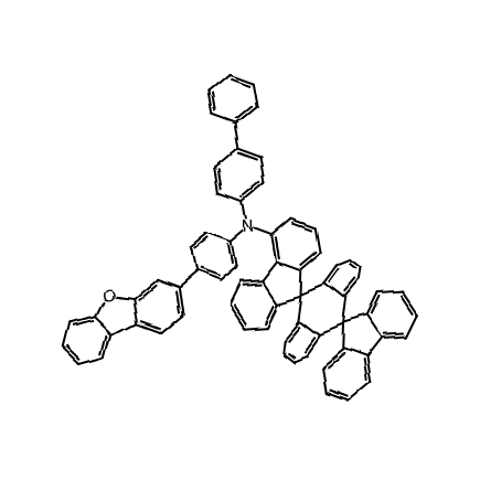 c1ccc(-c2ccc(N(c3ccc(-c4ccc5c(c4)oc4ccccc45)cc3)c3cccc4c3-c3ccccc3C43c4ccccc4C4(c5ccccc5-c5ccccc54)c4ccccc43)cc2)cc1